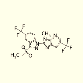 CCS(=O)(=O)c1nn(-c2nc3cc(C(F)(F)F)cnc3n2C)c2ccc(C(F)(F)F)cc12